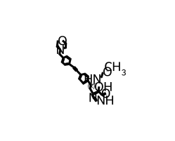 COCCNC[C@H](Cc1nc[nH]c(=O)c1O)c1ccc(C#Cc2ccc(CN3CCOCC3)cc2)cc1